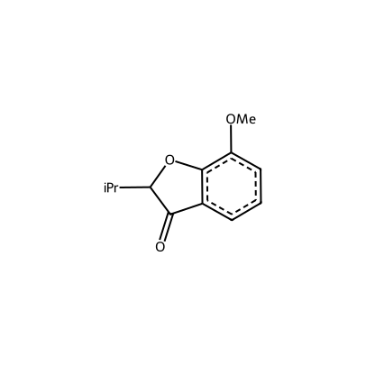 COc1cccc2c1OC(C(C)C)C2=O